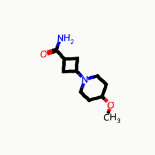 COC1CCN(C2CC(C(N)=O)C2)CC1